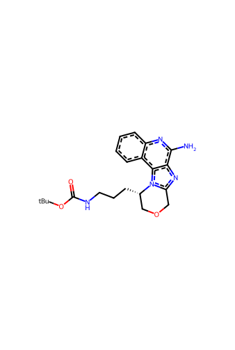 CC(C)(C)OC(=O)NCCC[C@H]1COCc2nc3c(N)nc4ccccc4c3n21